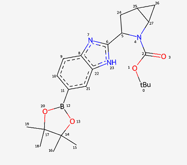 CC(C)(C)OC(=O)N1C(c2nc3ccc(B4OC(C)(C)C(C)(C)O4)cc3[nH]2)CC2CC21